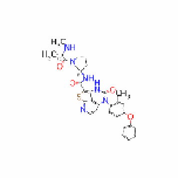 CN[C@@H](C)C(=O)N1CCC[C@@H](NC(=O)c2sc3nccc4c3c2NC(=O)N4c2ccc(Oc3ccccc3)cc2C)C1